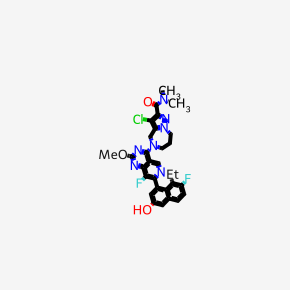 CCc1c(F)ccc2cc(O)cc(-c3ncc4c(N5CCCn6nc(C(=O)N(C)C)c(Cl)c6C5)nc(OC)nc4c3F)c12